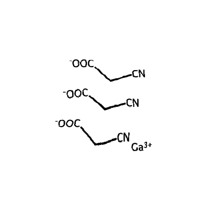 N#CCC(=O)[O-].N#CCC(=O)[O-].N#CCC(=O)[O-].[Ga+3]